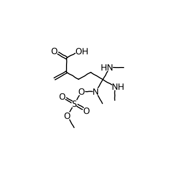 C=C(CCC(NC)(NC)N(C)OS(=O)(=O)OC)C(=O)O